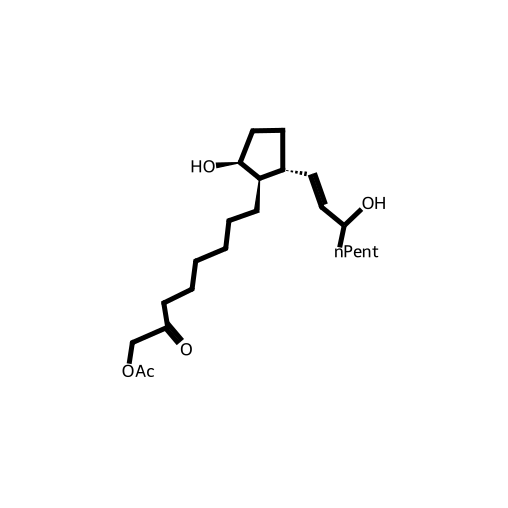 CCCCCC(O)/C=C/[C@H]1CC[C@H](O)[C@@H]1CCCCCCC(=O)COC(C)=O